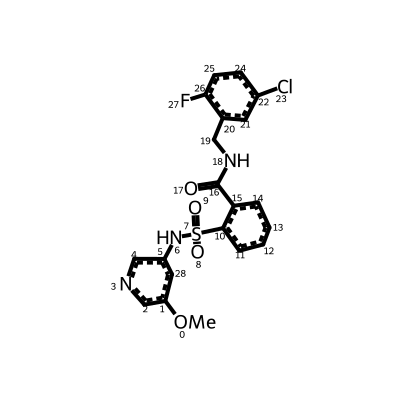 COc1cncc(NS(=O)(=O)c2ccccc2C(=O)NCc2cc(Cl)ccc2F)c1